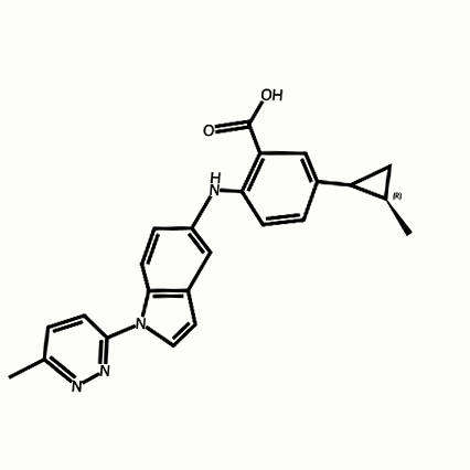 Cc1ccc(-n2ccc3cc(Nc4ccc(C5C[C@H]5C)cc4C(=O)O)ccc32)nn1